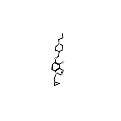 CCCN1CCC(COc2ccc3c(nnn3CC3CC3)c2Br)CC1